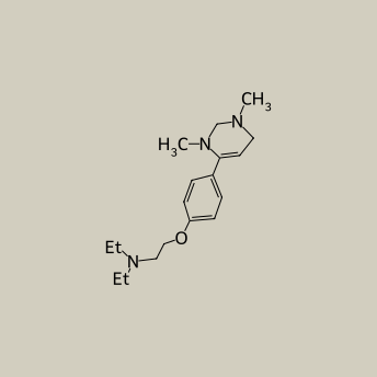 CCN(CC)CCOc1ccc(C2=CCN(C)CN2C)cc1